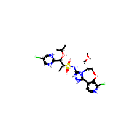 COC[C@@H]1COc2c(ccnc2Cl)-c2nnc(NS(=O)(=O)C(C)C(OC(C)C)c3ncc(Cl)cn3)n21